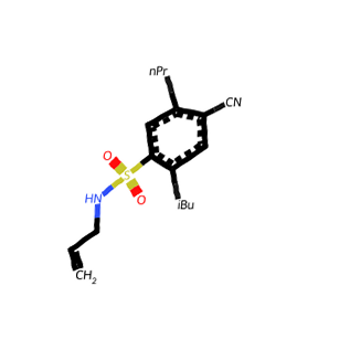 C=CCNS(=O)(=O)c1cc(CCC)c(C#N)cc1C(C)CC